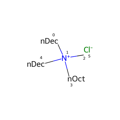 CCCCCCCCCC[N+](C)(CCCCCCCC)CCCCCCCCCC.[Cl-]